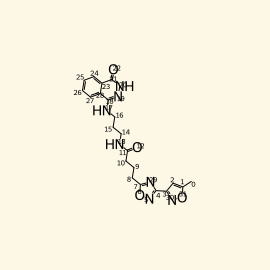 Cc1cc(-c2noc(CCCC(=O)NCCCNc3n[nH]c(=O)c4ccccc34)n2)no1